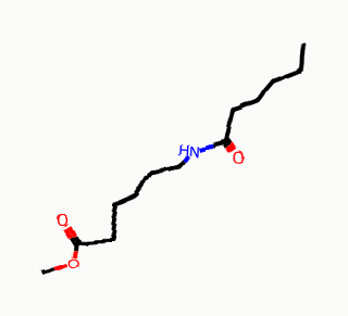 CCCCCC(=O)NCCCCCC(=O)OC